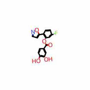 O=C(Oc1cc(F)ccc1-c1ccno1)c1ccc(O)c(O)c1